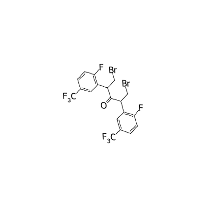 O=C(C(CBr)c1cc(C(F)(F)F)ccc1F)C(CBr)c1cc(C(F)(F)F)ccc1F